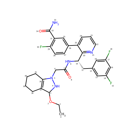 CCOC1NN(CC(=O)N[C@@H](Cc2cc(F)cc(F)c2)c2ncccc2-c2ccc(F)c(C(N)=O)c2)C2=C1CCCC2